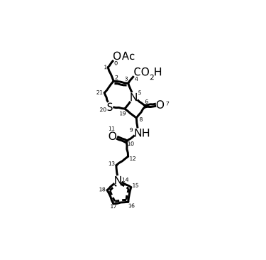 CC(=O)OCC1=C(C(=O)O)N2C(=O)C(NC(=O)CCn3cccc3)C2SC1